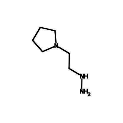 NNCCN1CCCC1